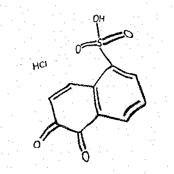 Cl.O=C1C=Cc2c(cccc2S(=O)(=O)O)C1=O